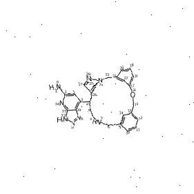 Nc1cc(C2CCNCc3cccc(c3)COc3cccc(c3)Cn3cc2cn3)c2nn[nH]c2n1